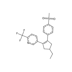 CCC1CC(c2ccc(S(C)(=O)=O)cc2)=C(c2ccc(C(F)(F)F)nc2)C1